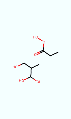 CC(CO)C(O)O.CCC(=O)OO